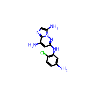 Nc1ccc(Cl)c(Nc2cc(N)c3ncc(N)n3n2)c1